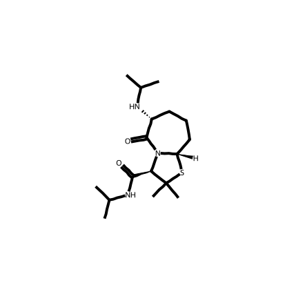 CC(C)NC(=O)[C@H]1N2C(=O)[C@H](NC(C)C)CCC[C@@H]2SC1(C)C